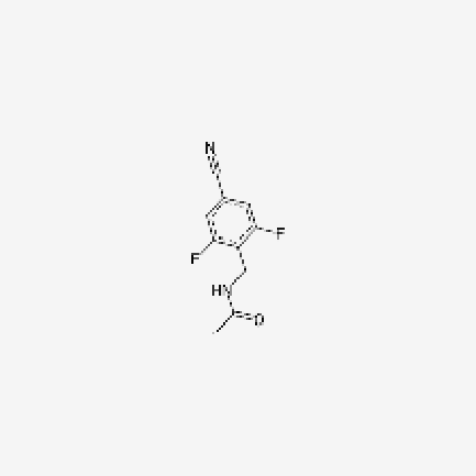 [CH2]C(=O)NCc1c(F)cc(C#N)cc1F